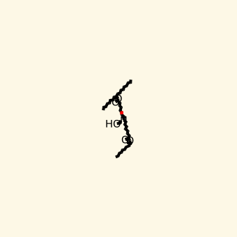 CCCCCCCCCC(CCCCCCCC)OC(=O)CCCCCCCN(CCO)CCCCCCCC(=O)OC(C)(C)CCCCCCCC